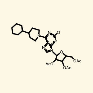 CC(=O)OCC1OC(n2cnc3c(N4CCC(C5CCCCC5)CC4)nc(Cl)nc32)C(OC(C)=O)C1OC(C)=O